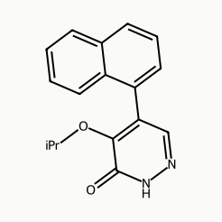 CC(C)Oc1c(-c2cccc3ccccc23)cn[nH]c1=O